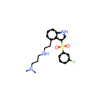 CN(C)CCCNCCc1cccc2[nH]cc(S(=O)(=O)c3cccc(F)c3)c12